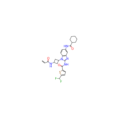 C=CC(=O)NC1CC(n2c(NC(=O)c3ccc(C(F)F)s3)nc3cc(NC(=O)C4CCCCC4)ccc32)C1